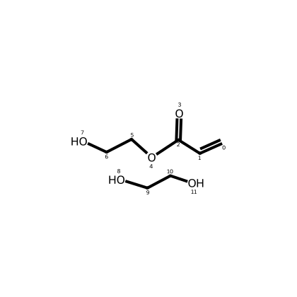 C=CC(=O)OCCO.OCCO